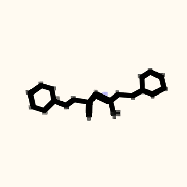 O=C(/C=C(\O)CCC1CCCCC1)CCC1CCCCC1